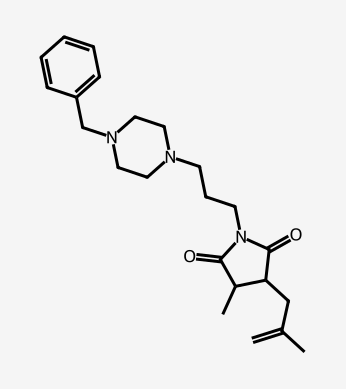 C=C(C)CC1C(=O)N(CCCN2CCN(Cc3ccccc3)CC2)C(=O)C1C